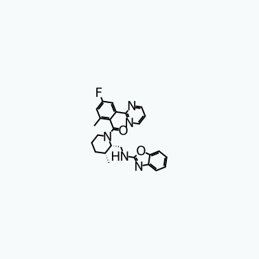 Cc1cc(F)cc(-c2ncccn2)c1C(=O)N1CCC[C@@H](C)[C@H]1CNc1nc2ccccc2o1